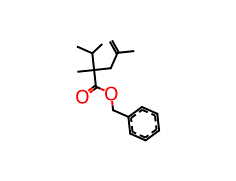 C=C(C)CC(C)(C(=O)OCc1ccccc1)C(C)C